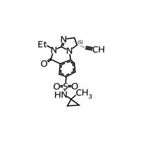 C#C[C@H]1CN=C2N(CC)C(=O)c3cc(S(=O)(=O)NC4(C)CC4)ccc3N21